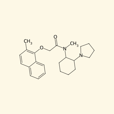 Cc1ccc2ccccc2c1OCC(=O)N(C)C1CCCCC1N1CCCC1